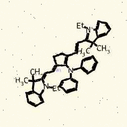 CCN1C(=C/C=C2\CCC(C=CC3=[N+](CC)c4ccccc4C3(C)C)=C2N(c2ccccc2)c2ccccc2)C(C)(C)c2ccccc21